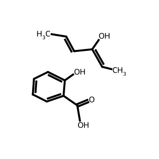 CC=CC(O)=CC.O=C(O)c1ccccc1O